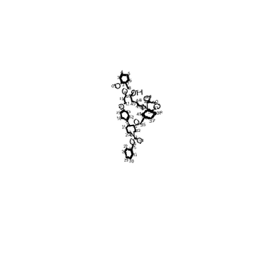 COc1ccccc1COCCCOc1ccc(C2CCN(C(=O)OCc3ccccc3)CC2OCc2ccc3c(c2)N(CCCCO)C(=O)CO3)cc1